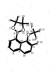 CC1(C)OB(c2cccc3ccc(F)c(OC(F)(F)F)c23)OC1(C)C